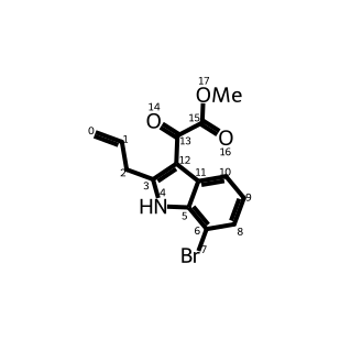 C=CCc1[nH]c2c(Br)cccc2c1C(=O)C(=O)OC